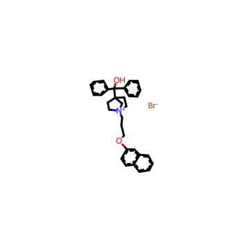 OC(c1ccccc1)(c1ccccc1)C12CC[N+](CCCOc3ccc4ccccc4c3)(CC1)C2.[Br-]